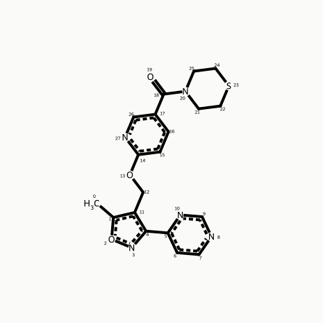 Cc1onc(-c2ccncn2)c1COc1ccc(C(=O)N2CCSCC2)cn1